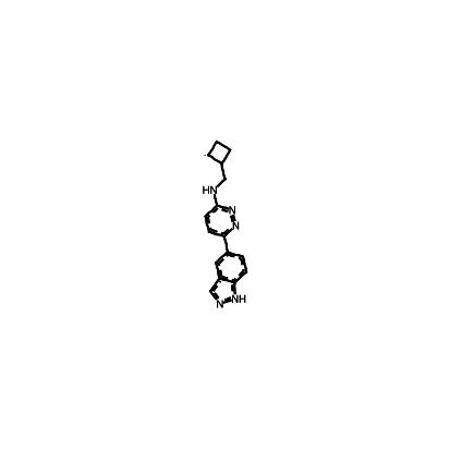 [CH]1CCC1CNc1ccc(-c2ccc3[nH]ncc3c2)nn1